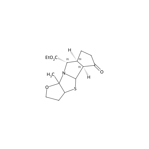 CCOC(=O)[C@@H]1[C@H]2CCC(=O)[C@H]2C2SC3CCOC3(C)N21